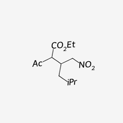 CCOC(=O)C(C(C)=O)C(CC(C)C)C[N+](=O)[O-]